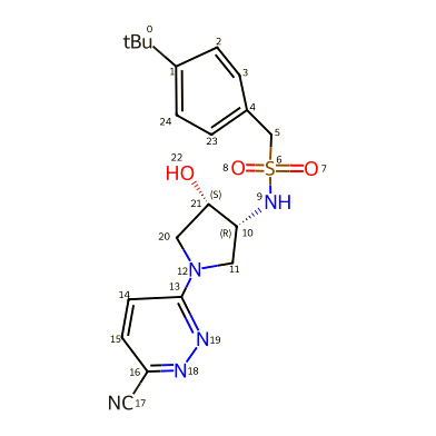 CC(C)(C)c1ccc(CS(=O)(=O)N[C@@H]2CN(c3ccc(C#N)nn3)C[C@@H]2O)cc1